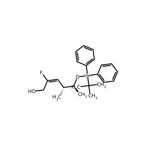 C[C@H](/C=C(/F)CO)[C@H](C)O[Si](c1ccccc1)(c1ccccc1)C(C)(C)C